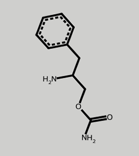 NC(=O)OCC(N)Cc1ccccc1